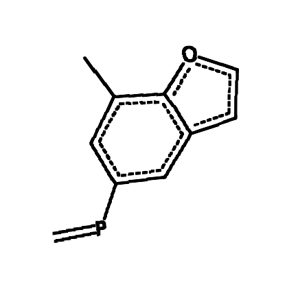 C=Pc1cc(C)c2occc2c1